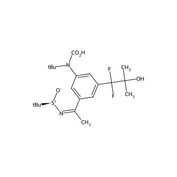 C/C(=N/[S@+]([O-])C(C)(C)C)c1cc(N(C(=O)O)C(C)(C)C)cc(C(F)(F)C(C)(C)O)c1